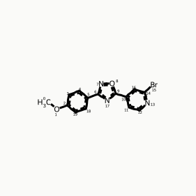 COc1ccc(-c2noc(-c3ccnc(Br)c3)n2)cc1